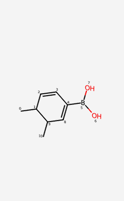 CC1C=CC(B(O)O)=CC1C